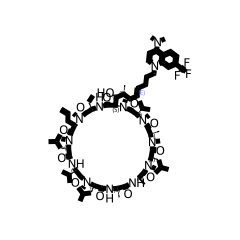 C=CCC1C(=O)N(C)[C@@H](CC(C)C)C(=O)N[C@@H](C(C)C)C(=O)N(C)[C@@H](CC(C)C)C(=O)N[C@@H](C)C(=O)N[C@H](C)C(=O)N(C)[C@@H](CC(C)C)C(=O)N(C)[C@@H](C)C(=O)N(C)[C@@H](C(C)C)C(=O)N(C)[C@@H]([C@H](O)[C@H](C)C/C=C/CCC[n+]2ccc(N(C)C)c3ccc(C(F)(F)F)cc32)C(=O)N[C@@H](CC)C(=O)N1C